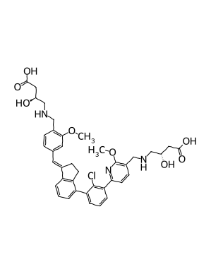 COc1cc(/C=C2\CCc3c2cccc3-c2cccc(-c3ccc(CNC[C@@H](O)CC(=O)O)c(OC)n3)c2Cl)ccc1CNC[C@@H](O)CC(=O)O